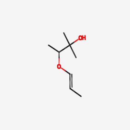 C/C=C/OC(C)C(C)(C)O